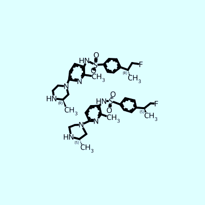 Cc1nc(N2CCN[C@@H](C)C2)ccc1NS(=O)(=O)c1ccc([C@H](C)CF)cc1.Cc1nc(N2CCN[C@H](C)C2)ccc1NS(=O)(=O)c1ccc([C@@H](C)CF)cc1